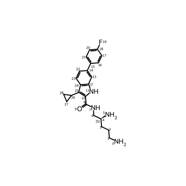 NCCC[C@H](N)CNC(=O)c1[nH]c2cc(-c3ccc(F)cc3)ccc2c1C1CC1